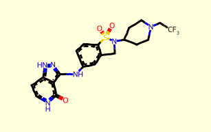 O=c1[nH]ccc2[nH]nc(Nc3ccc4c(c3)CN(C3CCN(CC(F)(F)F)CC3)S4(=O)=O)c12